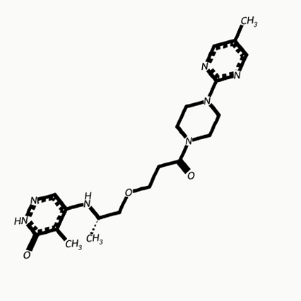 Cc1cnc(N2CCN(C(=O)CCOC[C@H](C)Nc3cn[nH]c(=O)c3C)CC2)nc1